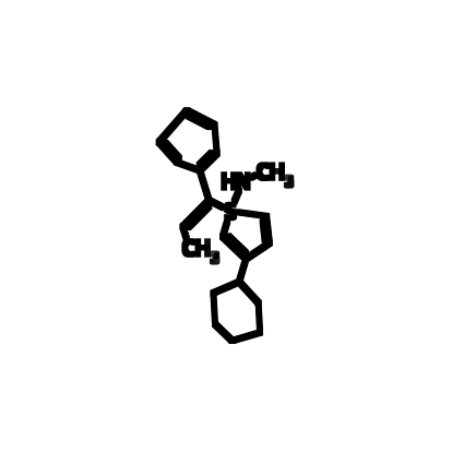 CC=C(c1ccccc1)S1(NC)C=CC(C2CCCCC2)=C1